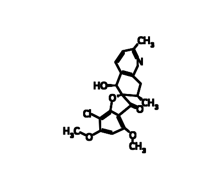 COc1cc(OC)c2c(c1Cl)O[C@@]1(C2=O)[C@H](C)Cc2nc(C)ccc2[C@@H]1O